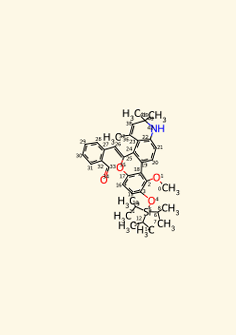 COc1c(O[Si](C(C)C)(C(C)C)C(C)C)ccc2c1-c1ccc3c(c1/C(=C/c1ccccc1C=O)O2)C(C)=CC(C)(C)N3